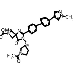 COC(=O)N1CC2(C1)N=C(c1ccc(-c3ccc(-c4cnn(C)c4)cc3)cc1)N(C[C@@H]1CCN(C(=O)C(F)(F)F)C1)C2=O